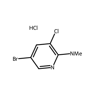 CNc1ncc(Br)cc1Cl.Cl